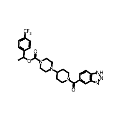 CC(OC(=O)N1CCN(C2CCN(C(=O)c3ccc4[nH]nnc4c3)CC2)CC1)c1ccc(C(F)(F)F)cc1